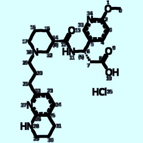 COc1ccc([C@H](CC(=O)O)NC(=O)[C@@H]2CCCN(CCCc3ccc4c(n3)NCCC4)C2)cn1.Cl